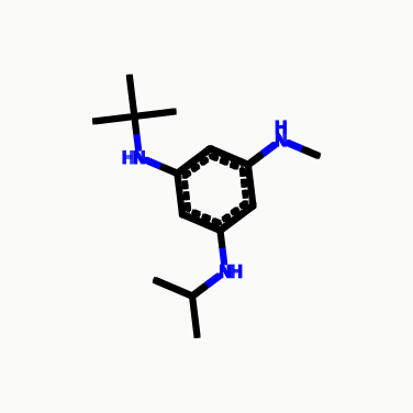 CNc1cc(NC(C)C)cc(NC(C)(C)C)c1